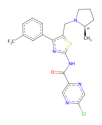 C[C@@H]1CCCN1Cc1sc(NC(=O)c2cnc(Cl)cn2)nc1-c1cccc(C(F)(F)F)c1